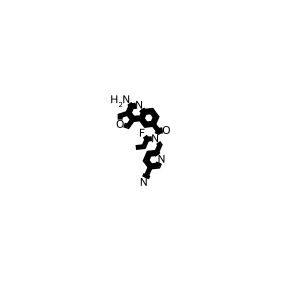 CCC(F)N(Cc1ccc(C#N)cn1)C(=O)c1ccc2nc(N)c3c(c2c1)COC3